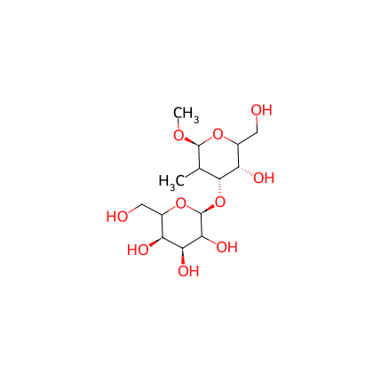 CO[C@H]1OC(CO)[C@H](O)[C@H](O[C@@H]2OC(CO)[C@H](O)[C@H](O)C2O)C1C